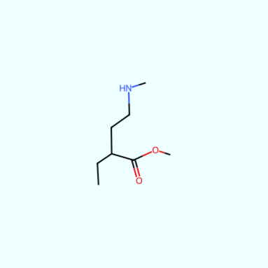 CCC(CCNC)C(=O)OC